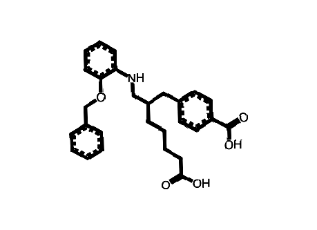 O=C(O)CCCCC(CNc1ccccc1OCc1ccccc1)Cc1ccc(C(=O)O)cc1